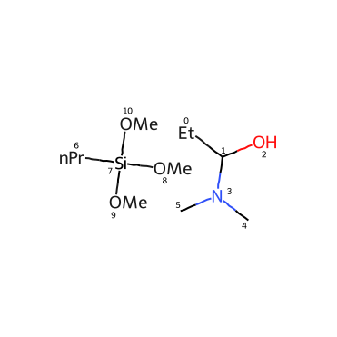 CCC(O)N(C)C.CCC[Si](OC)(OC)OC